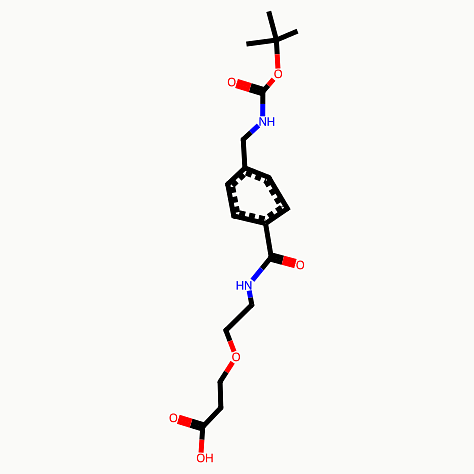 CC(C)(C)OC(=O)NCc1ccc(C(=O)NCCOCCC(=O)O)cc1